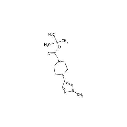 Cn1cc(N2CCN(C(=O)OC(C)(C)C)CC2)cn1